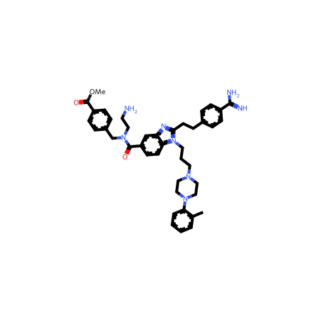 COC(=O)c1ccc(CN(CCN)C(=O)c2ccc3c(c2)nc(CCc2ccc(C(=N)N)cc2)n3CCCN2CCN(c3ccccc3C)CC2)cc1